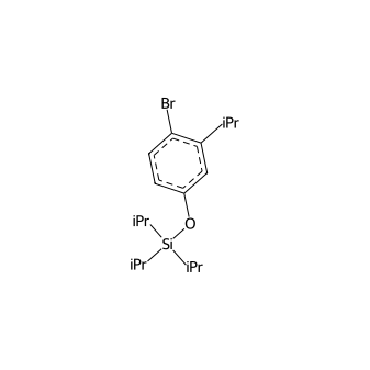 CC(C)c1cc(O[Si](C(C)C)(C(C)C)C(C)C)ccc1Br